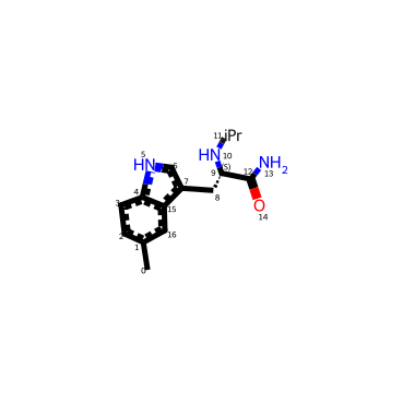 Cc1ccc2[nH]cc(C[C@H](NC(C)C)C(N)=O)c2c1